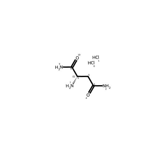 Cl.Cl.NC(=O)C[C@H](N)C(N)=O